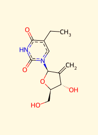 C=C1[C@H](n2cc(CC)c(=O)[nH]c2=O)O[C@H](CO)[C@H]1O